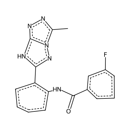 Cc1nnc2[nH]c(-c3ccccc3NC(=O)c3cccc(F)c3)nn12